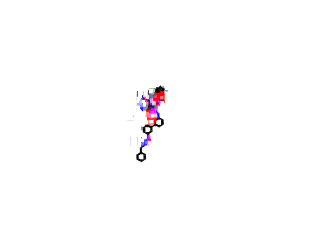 COc1c(CN2O[C@@H](CN)[C@H]([C@H](C)O)[C@H]2C(=O)N[C@H]2C[C@H]3C[C@@H]([C@@H]2C)C3(C)C)cccc1-c1cccc(C(=O)NCCc2ccccc2)c1